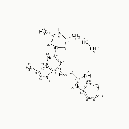 C[C@@H]1CN(c2nc(NCc3nc4ccccc4[nH]3)c3ncc(C(F)(F)F)n3n2)C[C@H](C)N1.O=CO